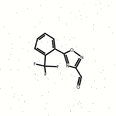 O=Cc1noc(-c2ccccc2C(F)(F)F)n1